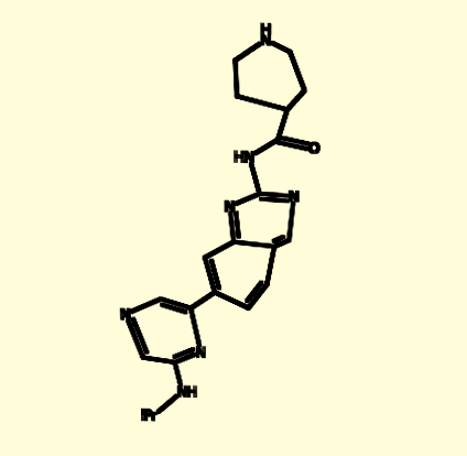 CC(C)Nc1cncc(-c2ccc3cnc(NC(=O)C4CCNCC4)nc3c2)n1